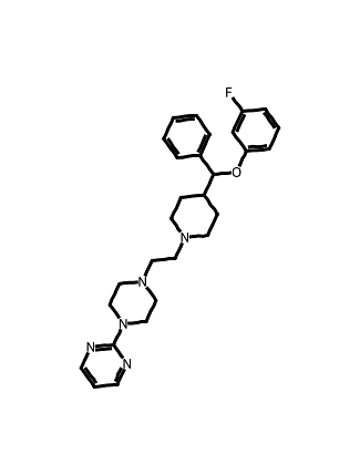 Fc1cccc(OC(c2ccccc2)C2CCN(CCN3CCN(c4ncccn4)CC3)CC2)c1